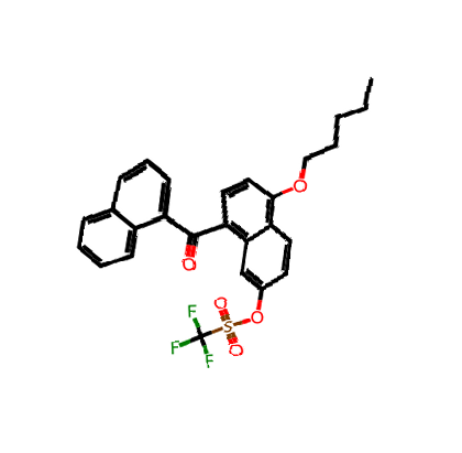 CCCCCOc1ccc(C(=O)c2cccc3ccccc23)c2cc(OS(=O)(=O)C(F)(F)F)ccc12